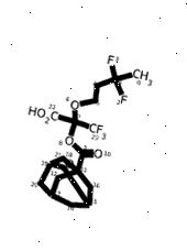 CC(F)(F)CCOC(OC(=O)C12CC3CC(C1)C(=O)C(C3)C2)(C(=O)O)C(F)(F)F